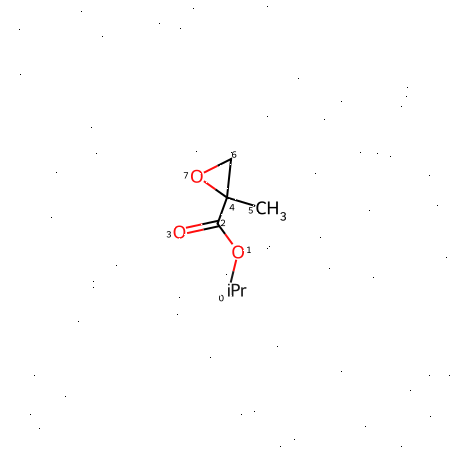 CC(C)OC(=O)C1(C)CO1